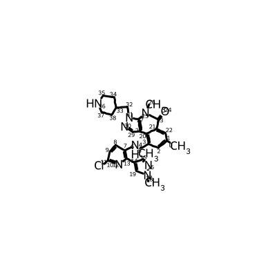 Cc1cc(C(C)Nc2ccc(Cl)nc2-c2cnn(C)c2)c2c(c1)c(=O)n(C)c1c2cnn1CC1CCNCC1